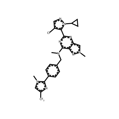 CN(Cc1ccc(-c2nc(C(F)(F)F)cn2C)cc1)c1nc(-c2c(Cl)cnn2C2CC2)nc2cn(C)nc12